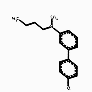 CCCCN(C)c1cccc(-c2ccc(Cl)cc2)c1